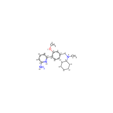 COc1cc(CN(C)C2CCCCC2)ccc1-c1cccc(N)n1